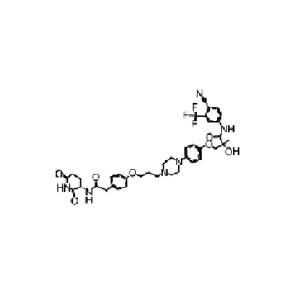 CC(O)(COc1ccc(N2CCN(CCCOc3ccc(CC(=O)N[C@H]4CCC(=O)NC4=O)cc3)CC2)cc1)C(=O)Nc1ccc(C#N)c(C(F)(F)F)c1